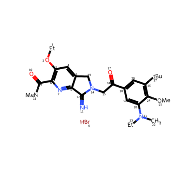 Br.CCOc1cc2c(nc1C(=O)NC)C(=N)N(CC(=O)c1cc(N(C)CC)c(OC)c(C(C)(C)C)c1)C2